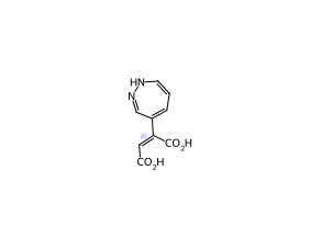 O=C(O)/C=C(\C(=O)O)C1=CC=CNN=C1